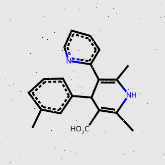 CC1=C(C(=O)O)C(c2cccc(C)c2)C(c2ccccn2)=C(C)N1